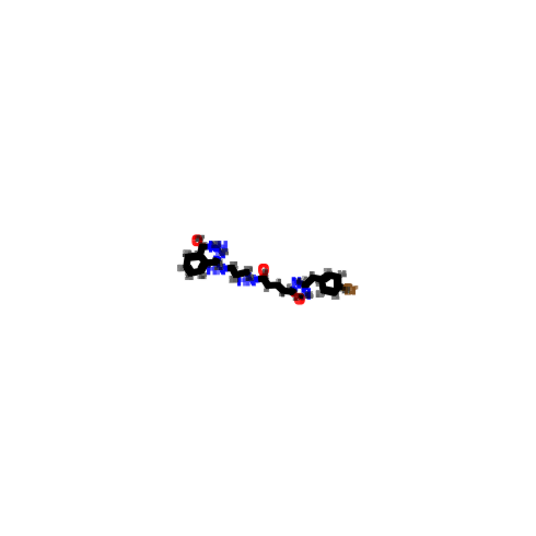 O=C(CCCc1nc(Cc2ccc(Br)cc2)no1)NCCCNc1n[nH]c(=O)c2ccccc12